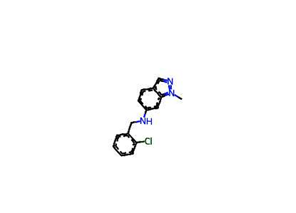 Cn1ncc2ccc(NCc3ccccc3Cl)cc21